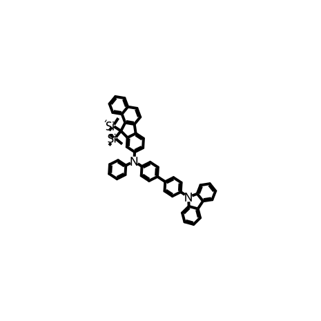 C[Si](C)(C)C1([Si](C)(C)C)c2cc(N(c3ccccc3)c3ccc(-c4ccc(-n5c6ccccc6c6ccccc65)cc4)cc3)ccc2-c2ccc3ccccc3c21